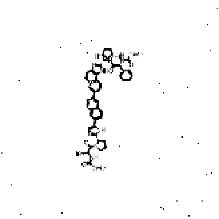 COC(=O)N[C@H](C(=O)N1CCC[C@H]1c1ncc(-c2ccc3cc(-c4ccc5c(ccc6nc([C@@H]7[C@H]8CC[C@H](C8)N7C(=O)[C@H](NC(=O)OC)c7ccccc7)[nH]c65)c4)ccc3c2)[nH]1)C(C)C